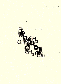 CN1CCC(N(C=O)c2cc(-c3ccc4c(cnn4C(=O)OC(C)(C)C)c3)c(F)cc2N(C)Cc2ccc(-c3nnc(C(F)F)o3)cn2)CC1